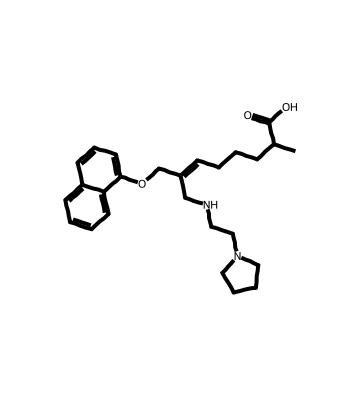 CC(CCCC=C(CNCCN1CCCC1)COc1cccc2ccccc12)C(=O)O